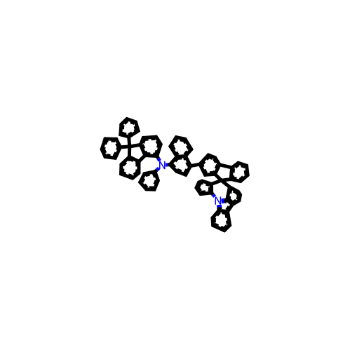 c1ccc(N(c2cccc3c2-c2ccccc2C3(c2ccccc2)c2ccccc2)c2ccc(-c3ccc4c(c3)C3(c5ccccc5-4)c4ccccc4-n4c5ccccc5c5cccc3c54)c3ccccc23)cc1